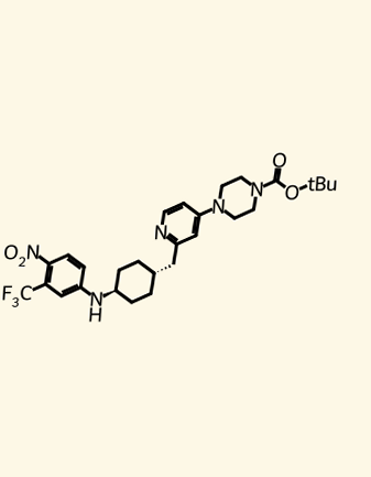 CC(C)(C)OC(=O)N1CCN(c2ccnc(C[C@H]3CC[C@H](Nc4ccc([N+](=O)[O-])c(C(F)(F)F)c4)CC3)c2)CC1